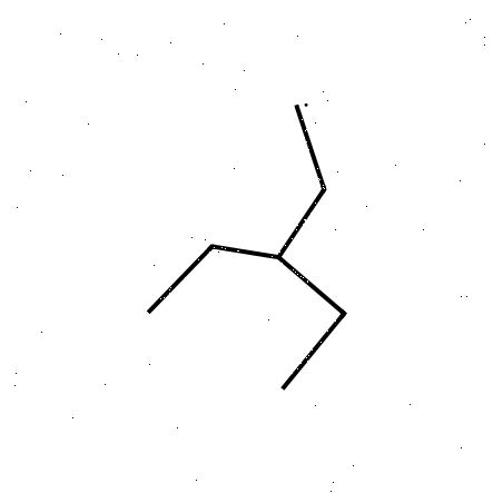 [CH2]CC(CC)CC